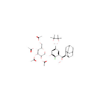 COC(=C1C2CC3CC(C2)CC1C3)c1cc(B2OC(C)(C)C(C)(C)O2)cc(O[C@@H]2OC(COC(C)=O)[C@H](OC(C)=O)C(OC(C)=O)C2OC(C)=O)c1Cl